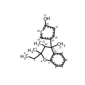 CCC1(C)Oc2ccccc2C(C)(c2ccc(O)cc2)C1C